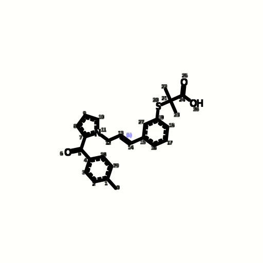 Cc1ccc(C(=O)c2cccn2C/C=C/c2cccc(SC(C)(C)C(=O)O)c2)cc1